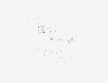 CC(C)(C)C(=O)CN1CCN(CC(=O)C(C)(C)C)CCN(C(C)(C)C(Cc2ccc(C(C)(C)C)cc2)C(=O)C(C)(C)C)CCN(CC(=O)C(C)(C)C)CC1